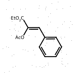 CCOC(=O)/C(=C/c1ccccc1)OC(C)=O